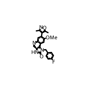 COc1cc2c(cc1-c1c(C)noc1C)ncc1[nH]c(=O)n(Cc3ccc(F)cc3)c12